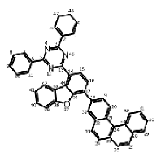 C1=CC(c2nc(-c3ccccc3)nc(-c3ccc(-c4ccc5c(ccc6ccc7ccccc7c65)c4)c4oc5ccccc5c34)n2)=CCC1